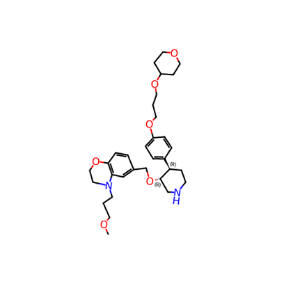 COCCCN1CCOc2ccc(CO[C@H]3CNCC[C@@H]3c3ccc(OCCCOC4CCOCC4)cc3)cc21